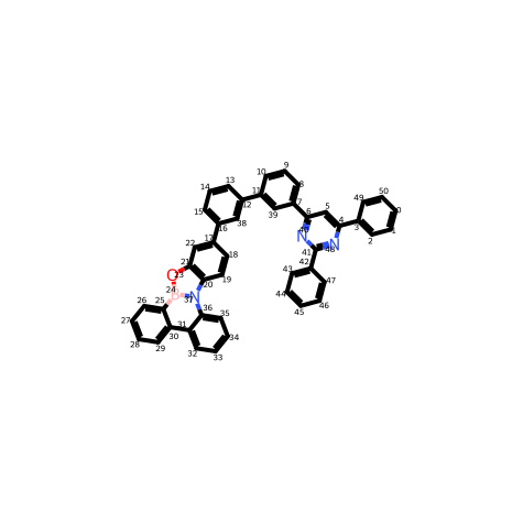 c1ccc(-c2cc(-c3cccc(-c4cccc(-c5ccc6c(c5)OB5c7ccccc7-c7ccccc7N56)c4)c3)nc(-c3ccccc3)n2)cc1